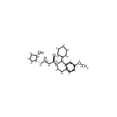 COc1ccc2c(c1)C(C1CCCCC1)N(C(=O)CNC[C@@H]1CCC[C@@H]1O)CC2